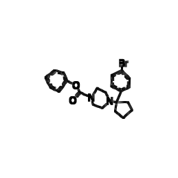 O=C(Oc1ccccc1)N1CCN(C2(c3ccc(Br)cc3)CCCC2)CC1